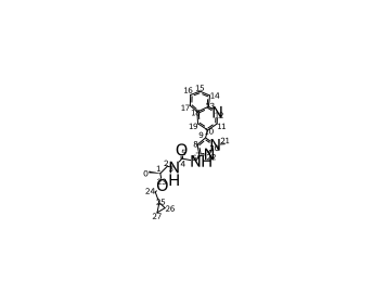 C[C@@H](CNC(=O)Nc1cc(-c2cnc3ccccc3c2)n(C)n1)OCC1CC1